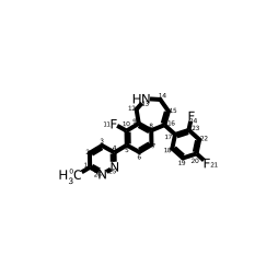 Cc1ccc(-c2ccc3c(c2F)CNCC=C3c2ccc(F)cc2F)nn1